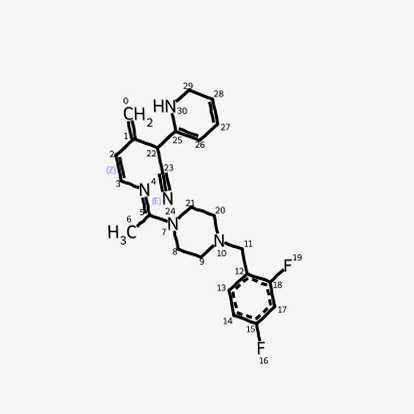 C=C(/C=C\N=C(/C)N1CCN(Cc2ccc(F)cc2F)CC1)C(C#N)C1=CC=CCN1